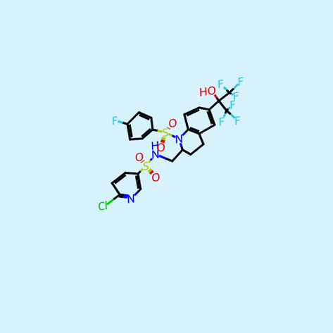 O=S(=O)(NCC1CCc2cc(C(O)(C(F)(F)F)C(F)(F)F)ccc2N1S(=O)(=O)c1ccc(F)cc1)c1ccc(Cl)nc1